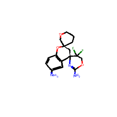 NC1=N[C@@]2(C[C@@]3(CCCOC3)Oc3ccc(N)cc32)C(F)(F)CO1